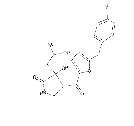 CCC(O)CC1(O)C(=O)NCC1C(=O)c1ccc(Cc2ccc(F)cc2)o1